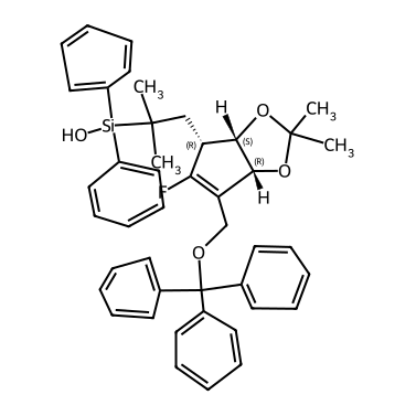 CC1(C)O[C@@H]2[C@H](O1)C(COC(c1ccccc1)(c1ccccc1)c1ccccc1)=C(F)[C@@H]2CC(C)(C)[Si](O)(c1ccccc1)c1ccccc1